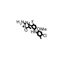 C=C1C(=O)N(C)C(N)=N[C@]1(C)c1cc(Nc2cc(C)c(Cl)cc2OC)ccc1F